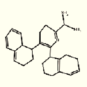 NC(N)C1=NC(C2CCCC3=C2CCC=C3)=C(C2CCC=C3C=CC=CC32)CC1